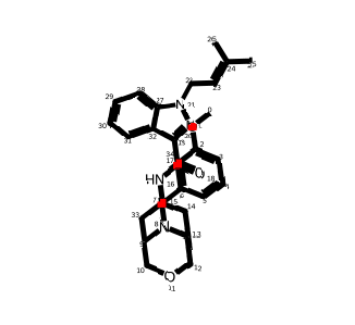 COc1cccc(CN2C3COCC2CC(NC(=O)c2nn(CC=C(C)C)c4ccccc24)C3)c1